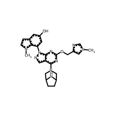 Cn1cnc(COc2nc(N3CC4CCC(C3)N4)c3cnn(-c4cc(O)cc5ccn(C)c45)c3n2)c1